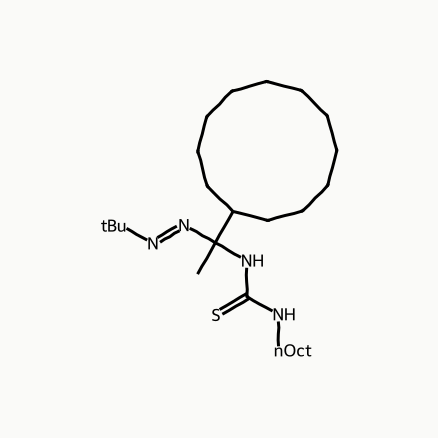 CCCCCCCCNC(=S)NC(C)(/N=N/C(C)(C)C)C1CCCCCCCCCCC1